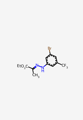 CCOC(=O)C(C)=NNc1cc(Br)cc(C(F)(F)F)c1